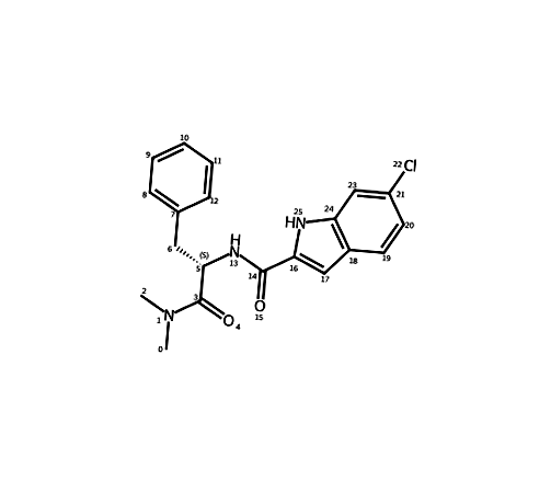 CN(C)C(=O)[C@H](Cc1ccccc1)NC(=O)c1cc2ccc(Cl)cc2[nH]1